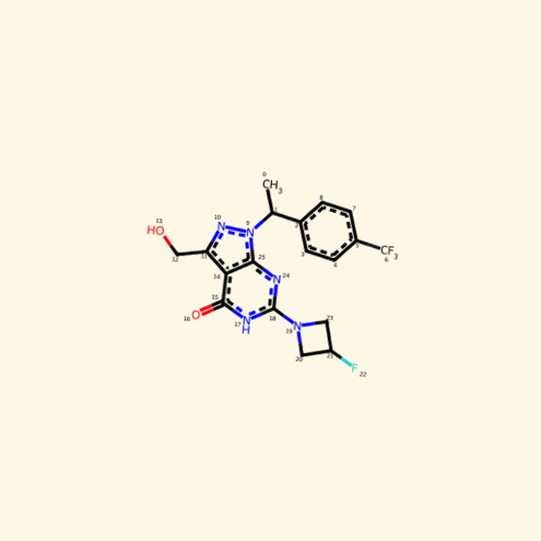 CC(c1ccc(C(F)(F)F)cc1)n1nc(CO)c2c(=O)[nH]c(N3CC(F)C3)nc21